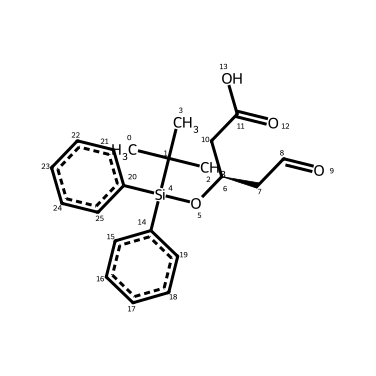 CC(C)(C)[Si](O[C@H](CC=O)CC(=O)O)(c1ccccc1)c1ccccc1